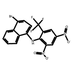 O=[N+]([O-])c1cc([N+](=O)[O-])c(Nc2ccc(Br)c3ccccc23)c(C(F)(F)F)c1